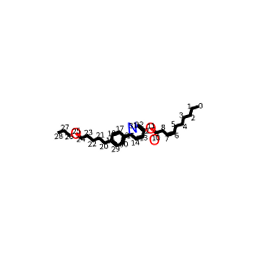 CCCCCC/C=C\CC(=O)Oc1ccc(-c2ccc(CCCCCOCCC)cc2)nc1